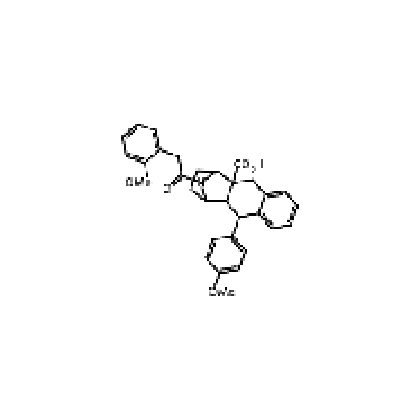 COc1ccc(C2c3ccccc3CC3(C(=O)O)C2C2CCC3N2C(=O)Cc2ccccc2OC)cc1